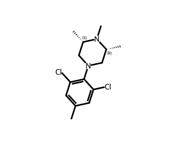 Cc1cc(Cl)c(N2C[C@@H](C)N(C)[C@@H](C)C2)c(Cl)c1